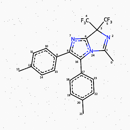 CC1=NC(C(F)(F)F)(C(F)(F)F)c2nc(-c3ccc(C)cc3)c(-c3ccc(C)cc3)n21